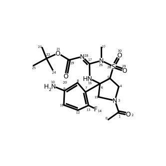 CC(=O)N1CC2C(c3cc(N)ccc3F)(C1)N/C(=N\C(=O)OC(C)(C)C)N(C)S2(=O)=O